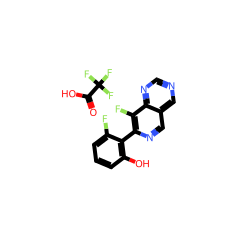 O=C(O)C(F)(F)F.Oc1cccc(F)c1-c1ncc2cncnc2c1F